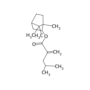 C=C(CC(C)C)C(=O)OC1CC2CCC1(C)C2(C)C